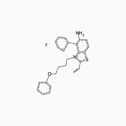 C=Cc1sc2ccc(N)c(-c3ccccc3)c2[n+]1CCCCOc1ccccc1.[I-]